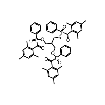 Cc1cc(C)c(C(=O)P(=O)(OCC(COP(=O)(C(=O)c2c(C)cc(C)cc2C)c2ccccc2)CSP(=O)(C(=O)c2c(C)cc(C)cc2C)c2ccccc2)c2ccccc2)c(C)c1